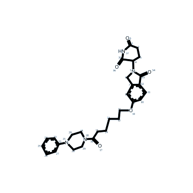 O=C1CCC(N2Cc3cc(OCCCCCC(=O)N4CCN(c5ccccc5)CC4)ccc3C2=O)C(=O)N1